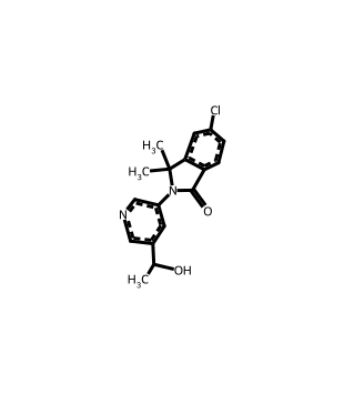 CC(O)c1cncc(N2C(=O)c3ccc(Cl)cc3C2(C)C)c1